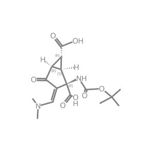 CN(C)C=C1C(=O)[C@H]2[C@H](C(=O)O)[C@H]2[C@]1(NC(=O)OC(C)(C)C)C(=O)O